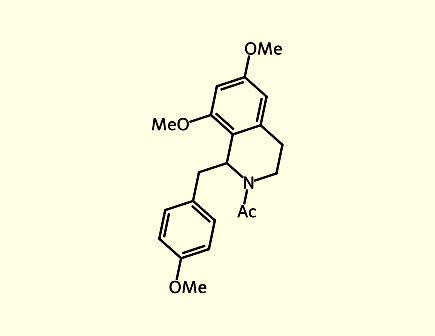 COc1ccc(CC2c3c(cc(OC)cc3OC)CCN2C(C)=O)cc1